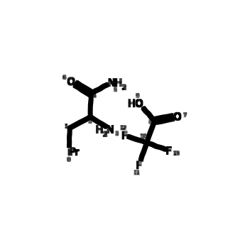 CC(C)CC(N)C(N)=O.O=C(O)C(F)(F)F